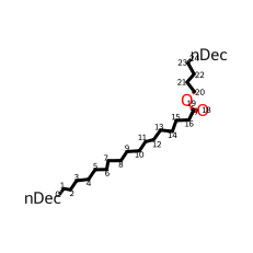 CCCCCCCCCCCCCCCCCCCCCCCCCCC(=O)OCCCCCCCCCCCCCC